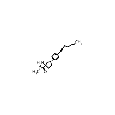 CCCCCC#Cc1ccc([C@H]2CC[C@](N)(C(=O)OC)C2)cc1